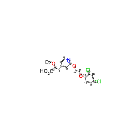 CCOC(Cc1ccnc(OCCOc2ccc(Cl)cc2Cl)c1)C(=O)O